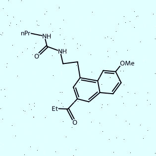 CCCNC(=O)NCCc1cc(C(=O)CC)cc2ccc(OC)cc12